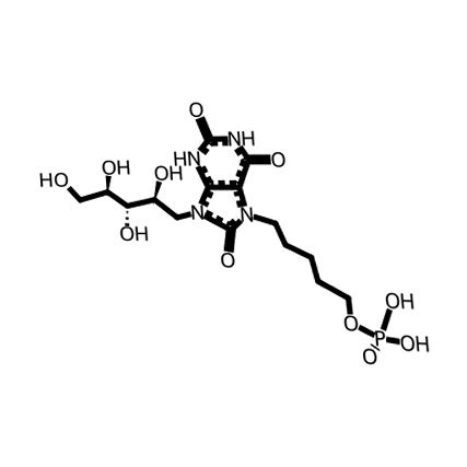 O=c1[nH]c(=O)c2c([nH]1)n(C[C@H](O)[C@H](O)[C@H](O)CO)c(=O)n2CCCCCOP(=O)(O)O